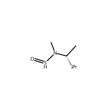 CC(C)[C@@H](C)N(C)[SH]=O